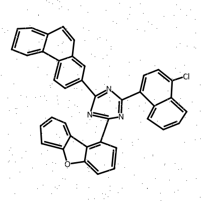 Clc1ccc(-c2nc(-c3ccc4c(ccc5ccccc54)c3)nc(-c3cccc4oc5ccccc5c34)n2)c2ccccc12